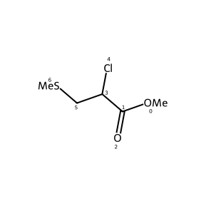 COC(=O)C(Cl)CSC